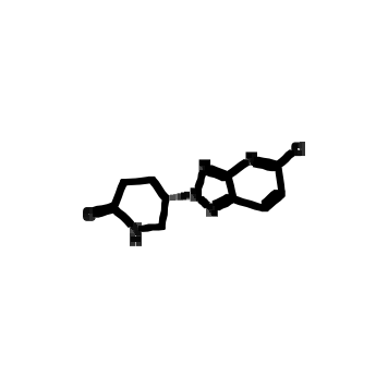 O=C1CC[C@H](n2nc3ccc(Cl)nc3n2)CN1